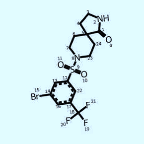 O=C1NCCC12CCN(S(=O)(=O)c1cc(Br)cc(C(F)(F)F)c1)CC2